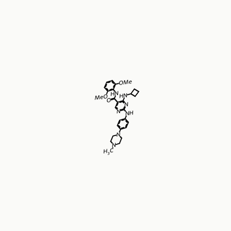 COc1cccc(OC)c1NC(=O)c1cnc(Nc2ccc(N3CCN(C)CC3)cc2)nc1NC1CCC1